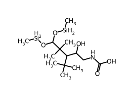 C[SiH2]OC(O[SiH2]C)C(C)(C)C(C(O)CNC(=O)O)C(C)(C)C